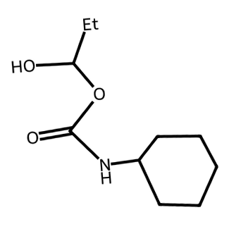 CCC(O)OC(=O)NC1CCCCC1